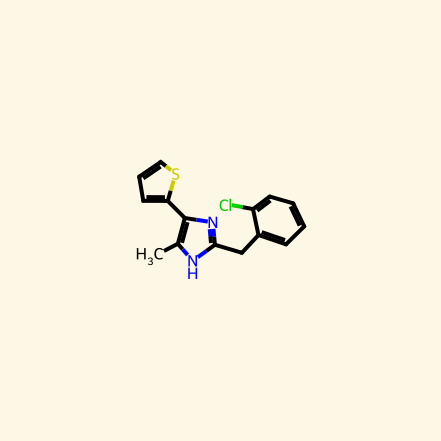 Cc1[nH]c(Cc2ccccc2Cl)nc1-c1cccs1